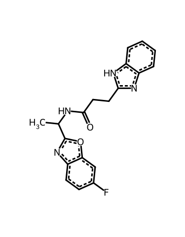 CC(NC(=O)CCc1nc2ccccc2[nH]1)c1nc2ccc(F)cc2o1